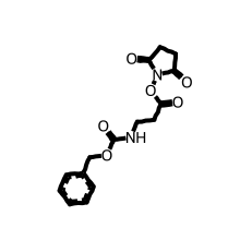 O=C(CCNC(=O)OCc1ccccc1)ON1C(=O)CCC1=O